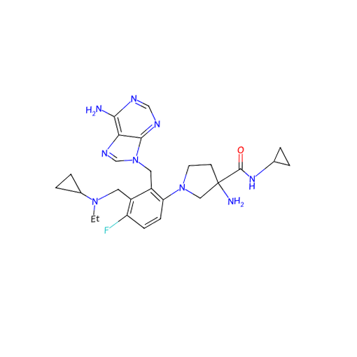 CCN(Cc1c(F)ccc(N2CCC(N)(C(=O)NC3CC3)C2)c1Cn1cnc2c(N)ncnc21)C1CC1